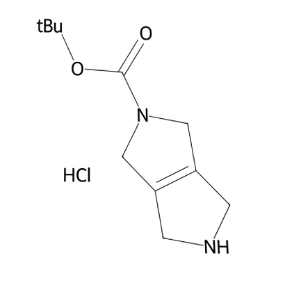 CC(C)(C)OC(=O)N1CC2=C(CNC2)C1.Cl